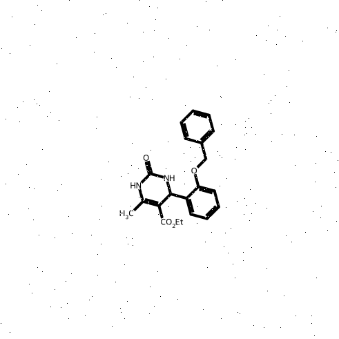 CCOC(=O)C1=C(C)NC(=O)NC1c1ccccc1OCc1ccccc1